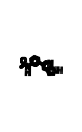 CC(=O)Nc1cccc(-c2cnc3[nH]ccc3c2)c1